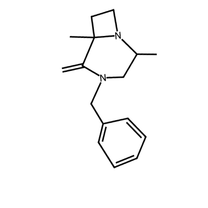 C=C1N(Cc2ccccc2)CC(C)N2CCC12C